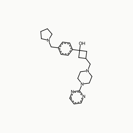 OC1(c2ccc(CN3CCCC3)cc2)CC(CN2CCN(c3ncccn3)CC2)C1